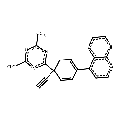 C#CC1(c2nc(C(Cl)(Cl)Cl)nc(C(Cl)(Cl)Cl)n2)C=CC(c2cccc3ccccc23)=CC1